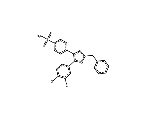 NS(=O)(=O)c1ccc(-c2nc(Cc3ccccc3)oc2-c2ccc(Cl)c(Cl)c2)cc1